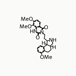 COc1cccc2c1CC[C@H]1CNC(CCn3c(=O)[nH]c4c(OC)c(OC)ccc4c3=O)[C@@H]21